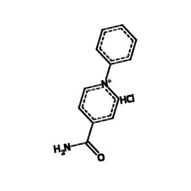 Cl.NC(=O)c1cc[n+](-c2ccccc2)cc1